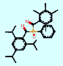 Cc1cc(C)c(C(=O)P(=O)(C(=O)c2c(C(C)C)cc(C(C)C)cc2C(C)C)c2ccccc2)c(C)c1C